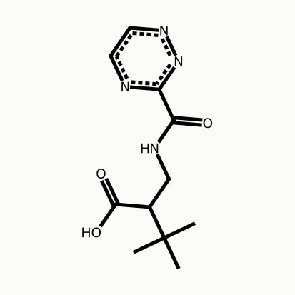 CC(C)(C)C(CNC(=O)c1nccnn1)C(=O)O